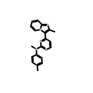 Cc1ccc(N(C)c2nccc(-c3c(C)nc4ccccn34)n2)cc1